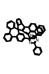 c1ccc(-c2nc(-c3ccccc3)nc(-c3ccc4c(c3)C3(c5ccccc5-c5ccccc5-4)c4ccccc4-c4c3cc3ccc5cccc6ccc4c3c56)n2)cc1